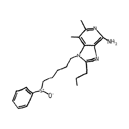 CCCc1nc2c(N)nc(C)c(C)c2n1CCCCC[S+]([O-])c1ccccc1